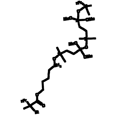 CCCC(C)(CC)C(=O)OCCCC[SiH2]O[Si](C)(C)CC[Si](OC)(OC)O[Si](C)(C)CC[Si](OC)(OC)O[Si](C)(C)CCC